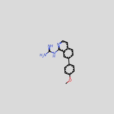 COc1ccc(-c2ccc3ccnc(NC(=N)N)c3c2)cc1